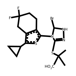 CC(C)(SC1=NNC(Br)N1c1sc(C2CC2)c2c1CCC(F)(F)C2)C(=O)O